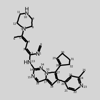 C=N/C(=C\C=C(/C)N1CCNCC1)Nc1ncc2cc(-c3ccnc(C)c3)c(C3=CCCC3)n2n1